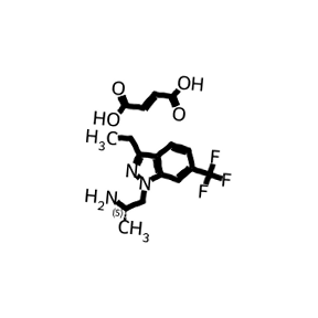 CCc1nn(C[C@H](C)N)c2cc(C(F)(F)F)ccc12.O=C(O)C=CC(=O)O